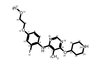 Cc1c(Nc2ccc(OCCOC(C)C)cc2F)ncnc1OC1CCNCC1